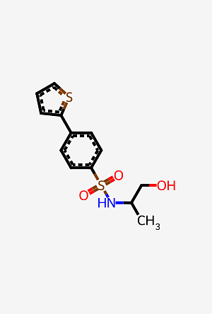 CC(CO)NS(=O)(=O)c1ccc(-c2cccs2)cc1